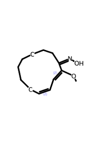 CO/C1=C\C=C/CCCCCCCC1=NO